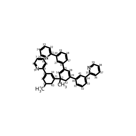 CC1C=C(c2ccccn2)C=C(C2(C)C=C(c3cccc(-c4ccccn4)c3)C=C(c3cccc(-c4ccccn4)c3)C2)C1